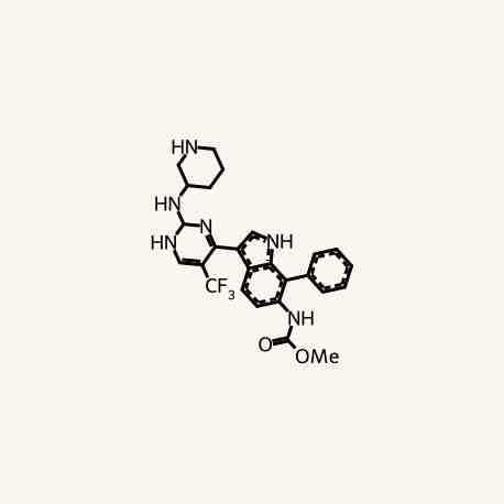 COC(=O)Nc1ccc2c(C3=NC(NC4CCCNC4)NC=C3C(F)(F)F)c[nH]c2c1-c1ccccc1